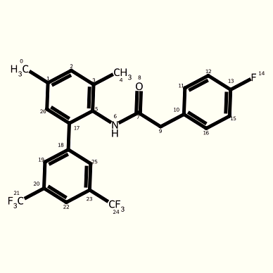 Cc1cc(C)c(NC(=O)Cc2ccc(F)cc2)c(-c2cc(C(F)(F)F)cc(C(F)(F)F)c2)c1